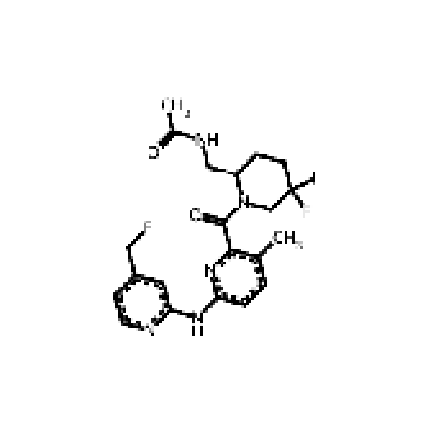 CC(=O)NC[C@H]1CCC(F)(F)CN1C(=O)c1nc(Nc2cc(CF)ccn2)ccc1C